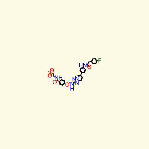 CS(=O)(=O)CCNC(=O)c1ccc(OCNc2nc3ccc(-c4ccc(NC(=O)Cc5ccc(F)cc5)cc4)cn3n2)cc1